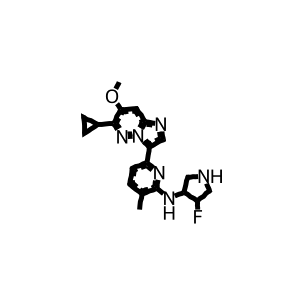 COc1cc2ncc(-c3ccc(C)c(NC4CNCC4F)n3)n2nc1C1CC1